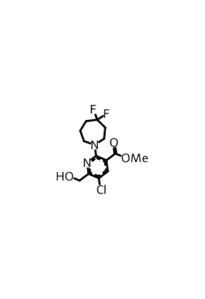 COC(=O)c1cc(Cl)c(CO)nc1N1CCCC(F)(F)CC1